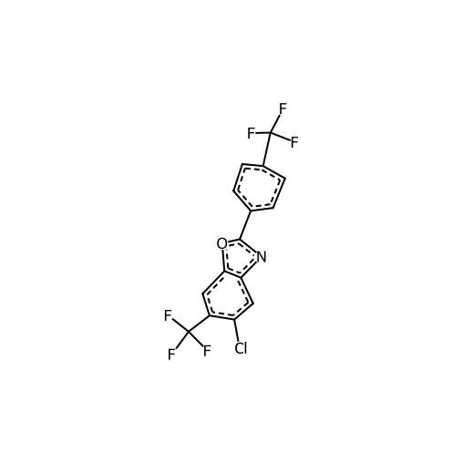 FC(F)(F)c1ccc(-c2nc3cc(Cl)c(C(F)(F)F)cc3o2)cc1